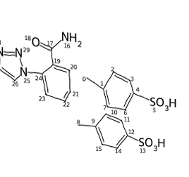 Cc1ccc(S(=O)(=O)O)cc1.Cc1ccc(S(=O)(=O)O)cc1.NC(=O)c1ccccc1-n1ccnn1